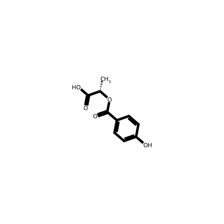 C[C@H](OC(=O)c1ccc(O)cc1)C(=O)O